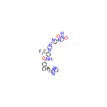 Cc1ccc(C(=O)Nc2ccc(N3CCN(Cc4ccc(N5CCC(=O)NC5=O)cn4)CC3)c(C(F)(F)F)c2)cc1C#Cc1cnc2cccnn12